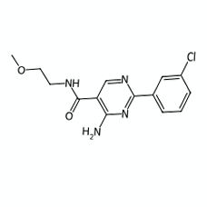 COCCNC(=O)c1cnc(-c2cccc(Cl)c2)nc1N